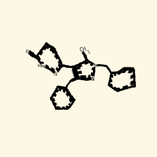 Cc1c(-c2ccc(=O)[nH]n2)c(-c2ccccc2)nn1Cc1ccccc1